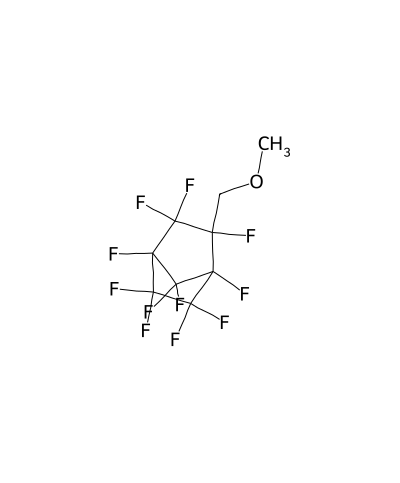 COCC1(F)C(F)(F)C2(F)C(F)(F)C(F)(F)C1(F)C2(F)F